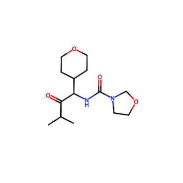 CC(C)C(=O)C(NC(=O)N1CCOC1)C1CCOCC1